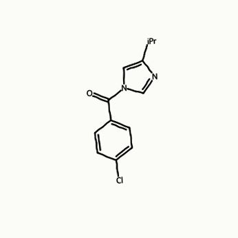 CC(C)c1cn(C(=O)c2ccc(Cl)cc2)cn1